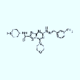 Cc1cccc(/C=N/Nc2nc(N3CCOCC3)c3sc(C(=O)NC4CCNCC4)nc3n2)c1